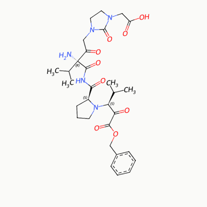 CC(C)[C@@H](C(=O)C(=O)OCc1ccccc1)N1CCC[C@H]1C(=O)NC(=O)[C@](N)(C(=O)CN1CCN(CC(=O)O)C1=O)C(C)C